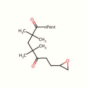 CCCCCC(=O)C(C)(C)CC(C)(C)C(=O)CCC1CO1